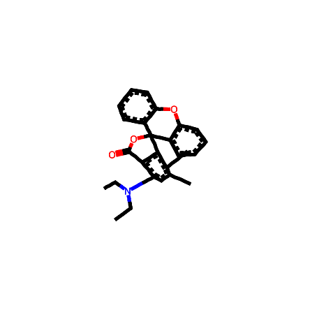 CCN(CC)c1cc(C)c(C)c2c1C(=O)OC21c2ccccc2Oc2ccccc21